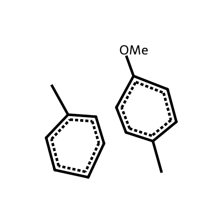 COc1ccc(C)cc1.Cc1ccccc1